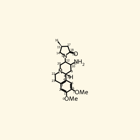 COc1cc2c(cc1OC)[C@H]1CC(N)C(N3C[C@@H](C)CC3=O)CN1CC2